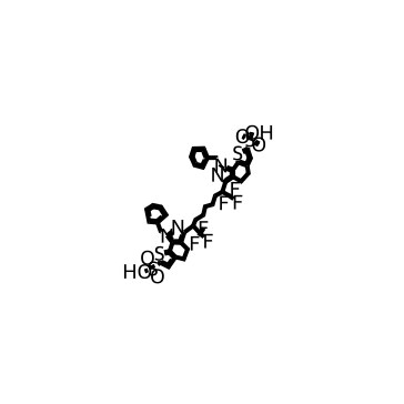 O=S(=O)(O)c1cc2c(s1)-c1c(c(C(CCCCCC(c3nn(Cc4ccccc4)c4c3CCc3cc(S(=O)(=O)O)sc3-4)C(F)(F)F)C(F)(F)F)nn1Cc1ccccc1)CC2